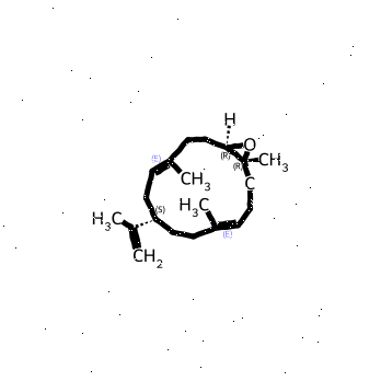 C=C(C)[C@@H]1C/C=C(\C)CC[C@H]2O[C@]2(C)CC/C=C(\C)CC1